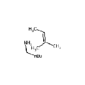 CC=C(C)C.CCCCCN